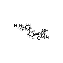 NC(=O)c1cncc(-c2cccc(C#C[C@@]3(CO)CCNC3=O)c2)n1